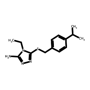 CCn1c(N)nnc1SCc1ccc(C(C)C)cc1